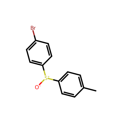 Cc1ccc([S+]([O-])c2ccc(Br)cc2)cc1